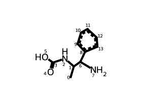 CC(NC(=O)O)C(N)c1ccccc1